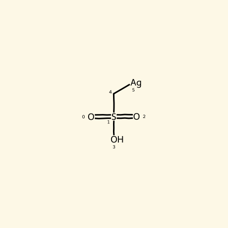 O=S(=O)(O)[CH2][Ag]